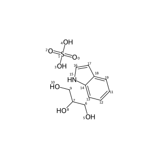 O=S(=O)(O)O.OCC(O)CO.c1ccc2[nH]ccc2c1